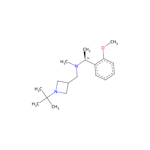 COc1ccccc1[C@H](C)N(C)CC1CN(C(C)(C)C)C1